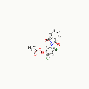 CC(=O)OOc1cc(N2C(=O)C3CCCCC3C2=O)c(F)cc1Cl